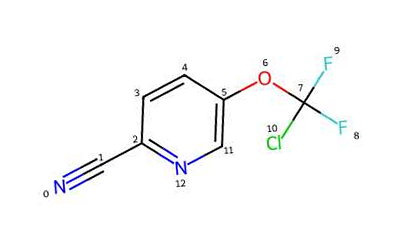 N#Cc1ccc(OC(F)(F)Cl)cn1